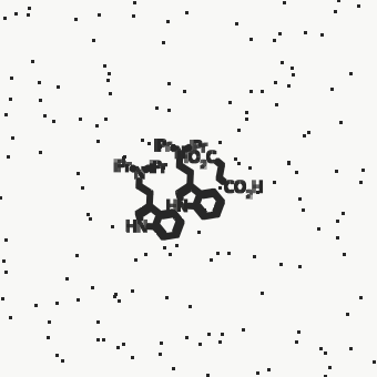 CC(C)N(CCc1c[nH]c2ccccc12)C(C)C.CC(C)N(CCc1c[nH]c2ccccc12)C(C)C.O=C(O)CCC(=O)O